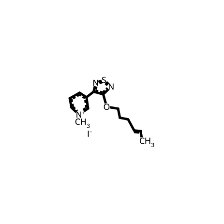 C/C=C/CCCOc1nsnc1-c1ccc[n+](C)c1.[I-]